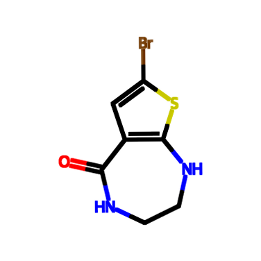 O=C1NCCNc2sc(Br)cc21